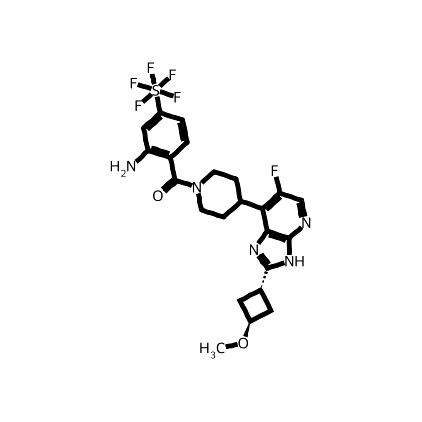 CO[C@H]1C[C@H](c2nc3c(C4CCN(C(=O)c5ccc(S(F)(F)(F)(F)F)cc5N)CC4)c(F)cnc3[nH]2)C1